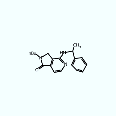 CCCCN1Cc2c(ccnc2NC(C)c2ccccc2)C1=O